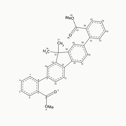 COC(=O)c1ccccc1-c1ccc2c(c1)C(C)(C)c1cc(-c3ccccc3C(=O)OC)ccc1-2